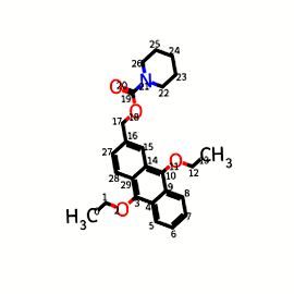 CCOc1c2ccccc2c(OCC)c2cc(COC(=O)N3CCCCC3)ccc12